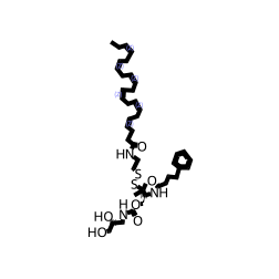 CC/C=C\C/C=C\C/C=C\C/C=C\C/C=C\C/C=C\CCC(=O)NCCSSC(C)(C)[C@@H](COC(=O)NC[C@@H](O)CO)NC(=O)CCCc1ccccc1